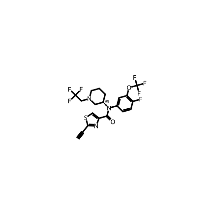 C#Cc1nc(C(=O)N(c2ccc(F)c(OC(F)(F)F)c2)[C@@H]2CCCN(CC(F)(F)F)C2)cs1